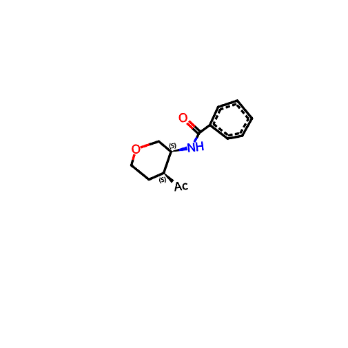 CC(=O)[C@H]1CCOC[C@H]1NC(=O)c1ccccc1